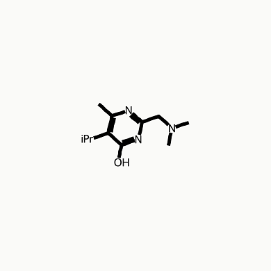 Cc1nc(CN(C)C)nc(O)c1C(C)C